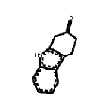 O=C1CCc2c([nH]c3ccccc23)C1